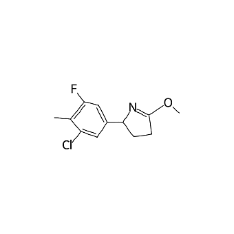 COC1=NC(c2cc(F)c(C)c(Cl)c2)CC1